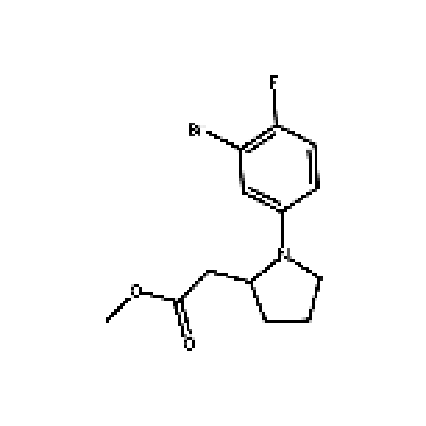 COC(=O)CC1CCCN1c1ccc(F)c(Br)c1